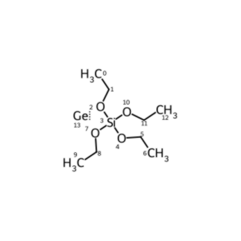 CCO[Si](OCC)(OCC)OCC.[Ge]